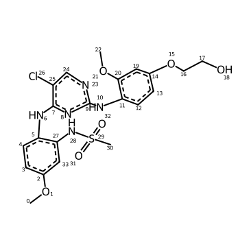 COc1ccc(Nc2nc(Nc3ccc(OCCO)cc3OC)ncc2Cl)c(NS(C)(=O)=O)c1